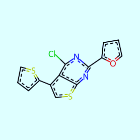 Clc1nc(-c2ccco2)nc2scc(-c3cccs3)c12